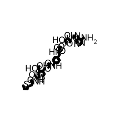 Nc1ncnc2c1ncn2[C@@H]1O[C@H](COS(=O)(=O)NCc2ccc(NC(=O)OCC3=C(C(O)O)N4C(=O)[C@@H](NC(=O)Cc5cccs5)[C@H]4SC3)cc2)[C@@H](O)[C@H]1O